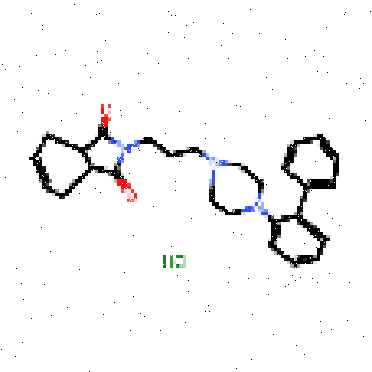 Cl.O=C1C2CC=CCC2C(=O)N1CCCN1CCN(c2ccccc2-c2ccccc2)CC1